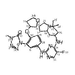 Cn1nnn(-c2cc(Nc3ncc(F)c(NC4CC5CCCN5C(C)(C)C4)n3)ccc2OC2CCOC2)c1=O